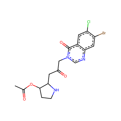 CC(=O)OC1CCNC1CC(=O)Cn1cnc2cc(Br)c(Cl)cc2c1=O